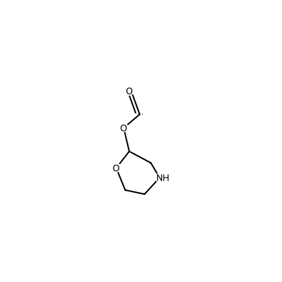 O=[C]OC1CNCCO1